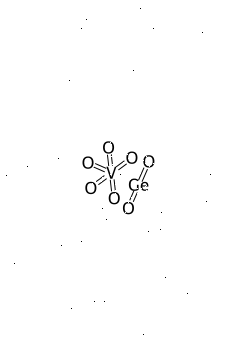 [O]=[Ge]=[O].[O]=[V](=[O])(=[O])(=[O])=[O]